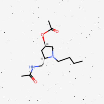 CCCCN1C[C@H](OC(C)=O)C[C@H]1CNC(C)=O